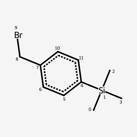 C[Si](C)(C)c1ccc(CBr)cc1